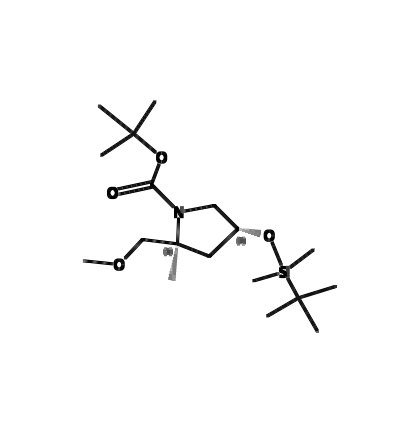 COC[C@]1(C)C[C@@H](O[Si](C)(C)C(C)(C)C)CN1C(=O)OC(C)(C)C